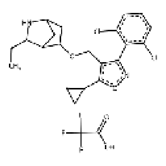 CCC1NC2CC(OCc3c(-c4c(Cl)cccc4Cl)noc3C3CC3)C1C2.O=C(O)C(F)(F)F